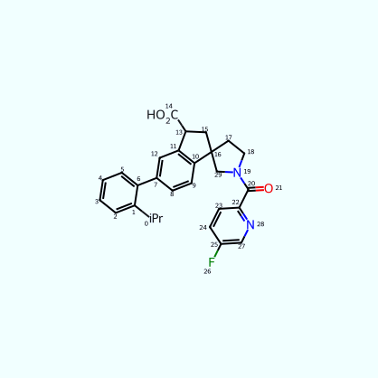 CC(C)c1ccccc1-c1ccc2c(c1)C(C(=O)O)CC21CCN(C(=O)c2ccc(F)cn2)C1